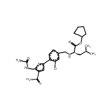 CC(C)C[C@@H](NCc1ccc(-c2cc(C(N)=O)c(NC(N)=O)s2)c(Cl)c1)C(=O)OC1CCCC1